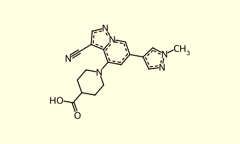 Cn1cc(-c2cc(N3CCC(C(=O)O)CC3)c3c(C#N)cnn3c2)cn1